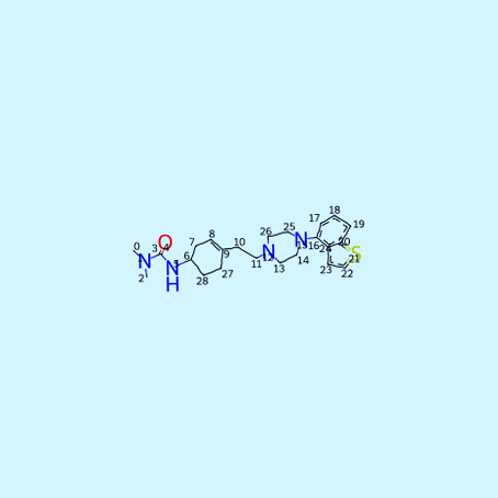 CN(C)C(=O)NC1CC=C(CCN2CCN(c3cccc4sccc34)CC2)CC1